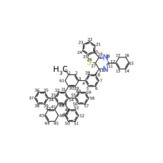 CC1C=C(c2cccc([C@@H]3N=C(C4=CC=CCC4)N=C4c5ccccc5SC43)c2)C=C(c2cc(-c3ccccc3)c(C3=CC=CCC3)c(-c3ccccc3)c2-c2ccccc2)C1